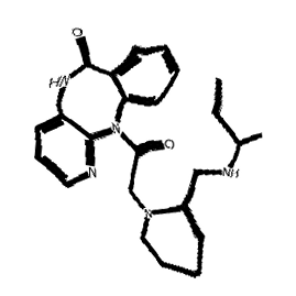 CCC(C)NCC1CCCCN1CC(=O)N1c2ccccc2C(=O)Nc2cccnc21